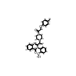 CCOc1ccccc1-n1c(C(C)N2CCN(C(=O)COc3ccc(C)cc3)CC2)nc2ccccc2c1=O